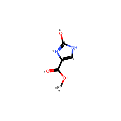 CCCOC(=O)c1c[nH]c([O])n1